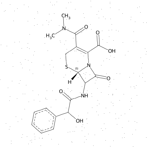 CN(C)C(=O)C1=C(C(=O)O)N2C(=O)C(NC(=O)C(O)c3ccccc3)[C@@H]2SC1